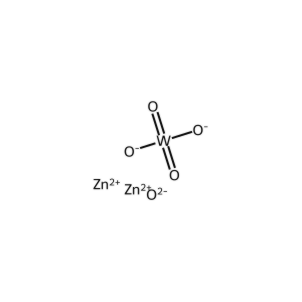 [O-2].[O]=[W](=[O])([O-])[O-].[Zn+2].[Zn+2]